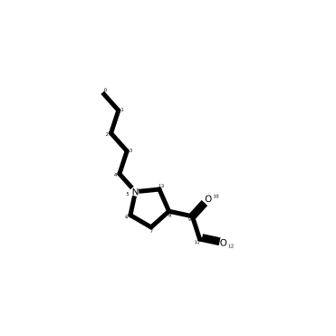 CCCCCN1CCC(C(=O)C=O)C1